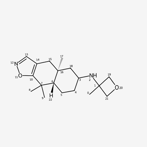 CC1(NC2CC[C@@H]3C(C)(C)c4oncc4C[C@@]3(C)C2)COC1